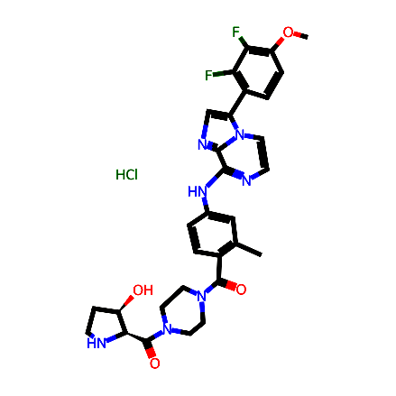 COc1ccc(-c2cnc3c(Nc4ccc(C(=O)N5CCN(C(=O)[C@H]6NCC[C@H]6O)CC5)c(C)c4)nccn23)c(F)c1F.Cl